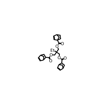 CCC(COC(=O)C1CC2C=CC1C2)(COC(=O)C1CC2C=CC1C2)COC(=O)C12C=CC(CC1)C2